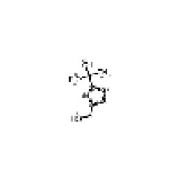 CC(O)(c1nc(CO)cs1)C(F)(F)F